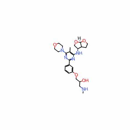 CNCC(O)COc1cccc(-c2nc(N[C@H]3CO[C@H]4OCCC43)c(C)c(N3CCOCC3)n2)c1